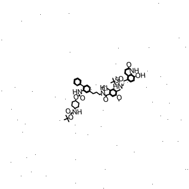 COc1cc(C(=O)NCCCc2ccc(-c3ccccc3)c(NC(=O)OC3CCC(NC(=O)OC(C)(C)C)CC3)c2)c(Cl)cc1CNC[C@H](O[Si](C)(C)C(C)(C)C)c1ccc(O)c2[nH]c(=O)ccc12